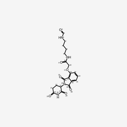 O=CNCCCCNC(=O)COc1cccc2c1C(=O)N(C1CCC(=O)NC1=O)C2=O